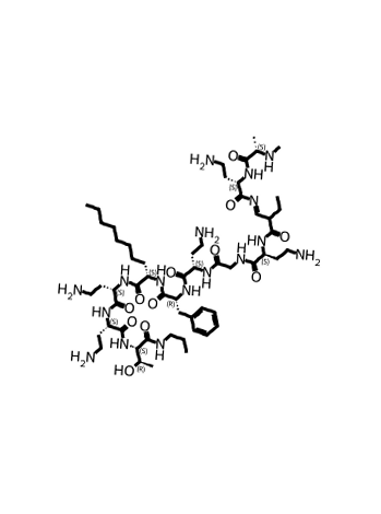 CCCCCCCC[C@H](NC(=O)[C@@H](Cc1ccccc1)NC(=O)[C@H](CCN)NC(=O)CNC(=O)[C@H](CCN)NC(=O)C(C=NC(=O)[C@H](CCN)NC(=O)[C@H](C)NC)CC)C(=O)N[C@@H](CCN)C(=O)N[C@@H](CCN)C(=O)N[C@H](C(=O)NCCC)[C@@H](C)O